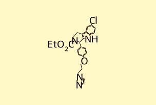 CCOC(=O)N1CCc2c([nH]c3ccc(Cl)cc23)C1c1ccc(OCCCn2ccnc2)cc1